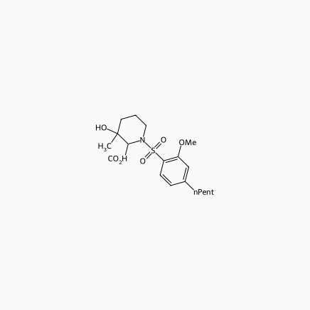 CCCCCc1ccc(S(=O)(=O)N2CCCC(C)(O)C2C(=O)O)c(OC)c1